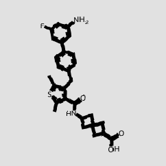 Cc1sc(C)c(C(=O)NC2CC3(C2)CC(C(=O)O)C3)c1Cc1ccc(-c2cc(N)cc(F)c2)cc1